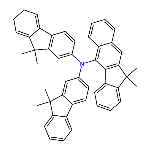 CC1(C)C2=CCCC=C2c2ccc(N(c3ccc4c(c3)C(C)(C)c3ccccc3-4)c3c4c(cc5ccccc35)C(C)(C)c3ccccc3-4)cc21